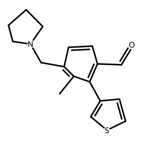 Cc1c(CN2CCCC2)ccc(C=O)c1-c1ccsc1